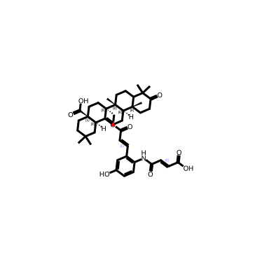 CC1(C)CC[C@]2(C(=O)O)CC[C@]3(COC(=O)/C=C/c4cc(O)ccc4NC(=O)/C=C/C(=O)O)C(=CC[C@@H]4[C@@]5(C)CCC(=O)C(C)(C)C5CC[C@]43C)[C@H]2C1